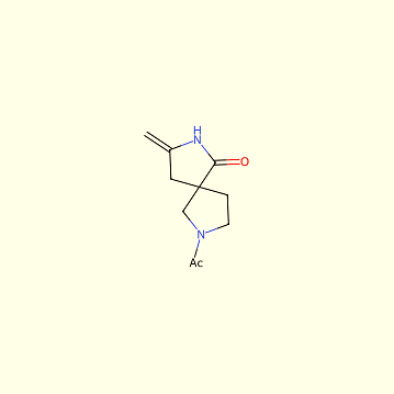 C=C1CC2(CCN(C(C)=O)C2)C(=O)N1